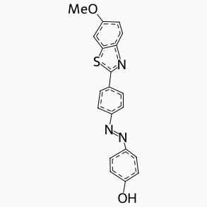 COc1ccc2nc(-c3ccc(/N=N/c4ccc(O)cc4)cc3)sc2c1